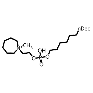 CCCCCCCCCCCCCCCCOP(=O)(O)OCC[N+]1(C)CCCCCC1